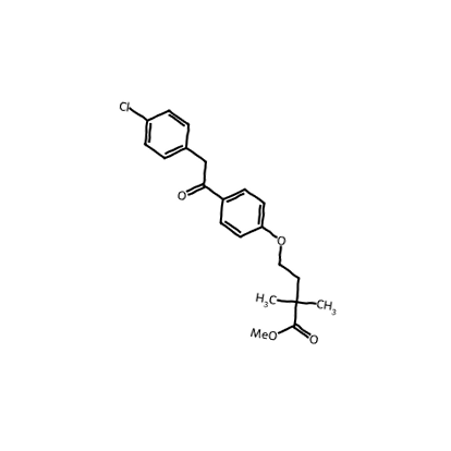 COC(=O)C(C)(C)CCOc1ccc(C(=O)Cc2ccc(Cl)cc2)cc1